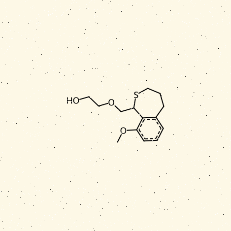 COc1cccc2c1C(COCCO)SCCC2